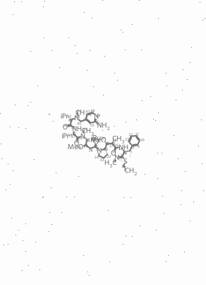 C=CS/C(=N\C)[C@H](Cc1ccccc1)NC(=O)[C@H](C)[C@@H](OC)[C@@H]1CCCN1C(=O)C[C@@H](OC)[C@H]([C@@H](C)CC)N(C)C(=O)[C@@H](NC(=O)[C@H](C(C)C)N(C)Cc1ccnc(N)c1)C(C)C